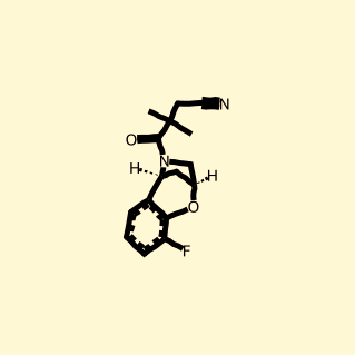 CC(C)(CC#N)C(=O)N1C[C@@H]2C[C@H]1c1cccc(F)c1O2